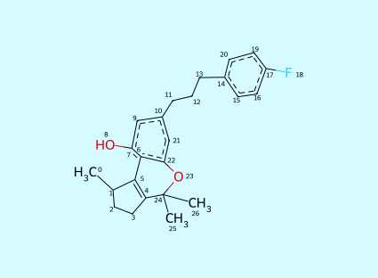 CC1CCC2=C1c1c(O)cc(CCCc3ccc(F)cc3)cc1OC2(C)C